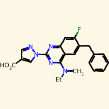 CCN(C)c1nc(-n2cc(C(=O)O)cn2)nc2cc(F)c(Cc3ccccc3)cc12